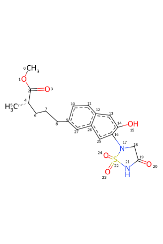 COC(=O)[C@@H](C)CCCc1ccc2cc(O)c(N3CC(=O)NS3(=O)=O)cc2c1